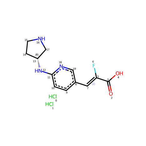 Cl.Cl.O=C(O)/C(F)=C/c1ccc(N[C@@H]2CCNC2)nc1